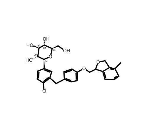 Cc1cccc2c1COC2COc1ccc(Cc2cc([C@@H]3O[C@H](CO)[C@@H](O)[C@H](O)[C@H]3O)ccc2Cl)cc1